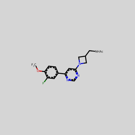 CC(=O)NCC1CN(c2cc(-c3ccc(OC(F)(F)F)c(F)c3)ncn2)C1